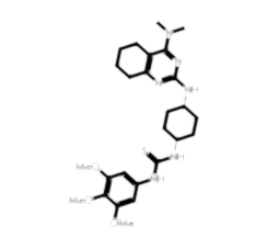 COc1cc(NC(=S)N[C@H]2CC[C@@H](Nc3nc4c(c(N(C)C)n3)CCCC4)CC2)cc(OC)c1OC